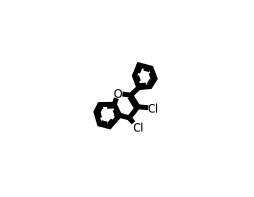 ClC1=C(c2ccccc2)Oc2ccccc2C1Cl